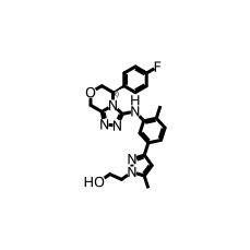 Cc1ccc(-c2cc(C)n(CCO)n2)cc1Nc1nnc2n1[C@H](c1ccc(F)cc1)COC2